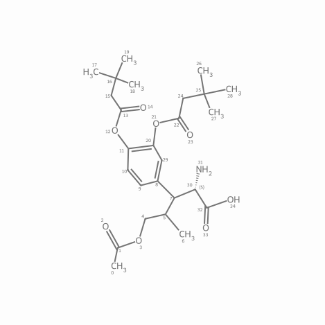 CC(=O)OCC(C)C(c1ccc(OC(=O)CC(C)(C)C)c(OC(=O)CC(C)(C)C)c1)[C@H](N)C(=O)O